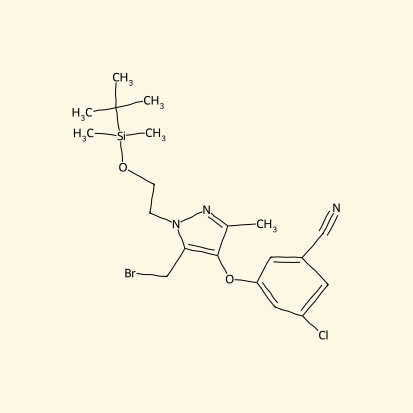 Cc1nn(CCO[Si](C)(C)C(C)(C)C)c(CBr)c1Oc1cc(Cl)cc(C#N)c1